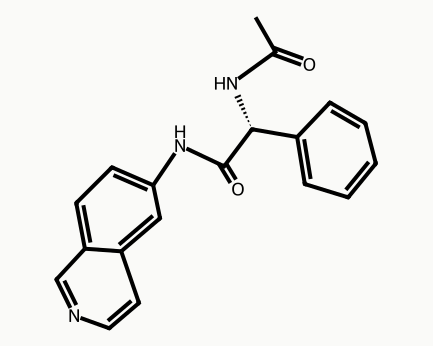 CC(=O)N[C@@H](C(=O)Nc1ccc2cnccc2c1)c1ccccc1